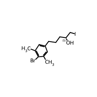 Cc1cc(CCC[C@H](O)CI)cc(C)c1Br